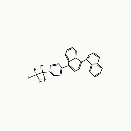 FC(F)(F)C(F)(F)c1ccc(-c2ccc(-c3cccc4ccccc34)c3ccccc23)cc1